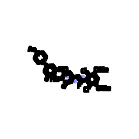 C=N/C=C(\C=N/CNc1c(C)cc(N2CCN(C(C)=O)CC2)cc1[N+](=O)[O-])/C=C(\F)c1c(Cl)c(OC)cc(OC)c1Cl